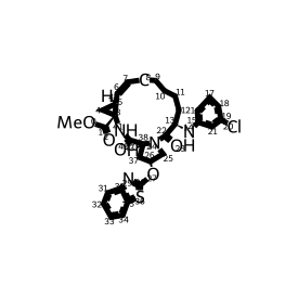 COC(=O)[C@@]12C[C@H]1/C=C\CCCCC[C@H](Nc1cccc(Cl)c1)C(=O)N1C[C@H](Oc3nc4ccccc4s3)C[C@H]1C(=O)N2